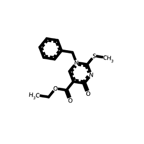 CCOC(=O)c1cn(Cc2ccccc2)c(SC)nc1=O